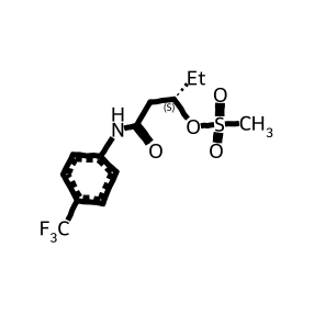 CC[C@@H](CC(=O)Nc1ccc(C(F)(F)F)cc1)OS(C)(=O)=O